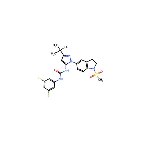 CC(C)(C)c1cc(NC(=O)Nc2cc(F)cc(F)c2)n(-c2ccc3c(c2)CCN3S(C)(=O)=O)n1